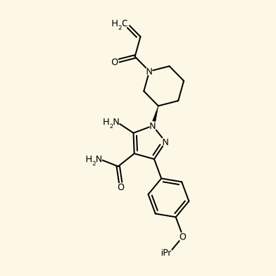 C=CC(=O)N1CCC[C@@H](n2nc(-c3ccc(OC(C)C)cc3)c(C(N)=O)c2N)C1